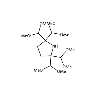 COC(OC)C1(C(OC)OC)CCC(C(OC)OC)(C(OC)OC)N1